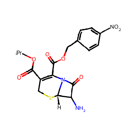 CC(C)OC(=O)C1=C(C(=O)OCc2ccc([N+](=O)[O-])cc2)N2C(=O)C(N)[C@@H]2SC1